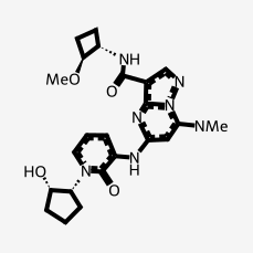 CNc1cc(Nc2cccn([C@@H]3CCC[C@@H]3O)c2=O)nc2c(C(=O)N[C@H]3CC[C@@H]3OC)cnn12